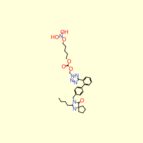 CCCCC1=NC2(CCCC2)C(=O)N1Cc1ccc(-c2ccccc2-c2nnn(COC(=O)OCCCCCON(O)O)n2)cc1